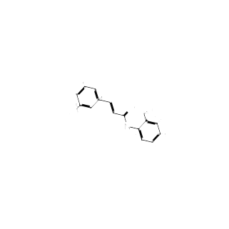 O=C(/C=C/c1cccc(O)c1)Nc1ccccc1C(=O)O